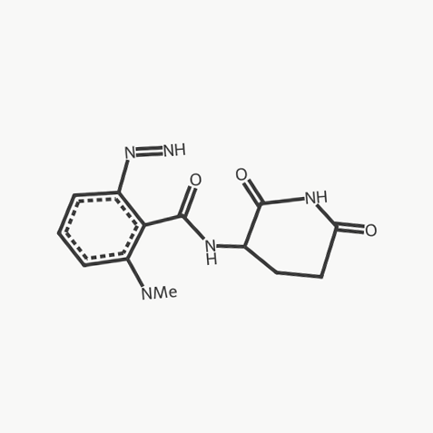 CNc1cccc(N=N)c1C(=O)NC1CCC(=O)NC1=O